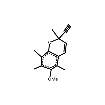 C#CC1(C)C=Cc2c(C)c(OC)c(C)c(C)c2O1